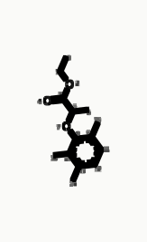 CCOC(=O)C(C)Oc1c(C)ccc(C)c1C